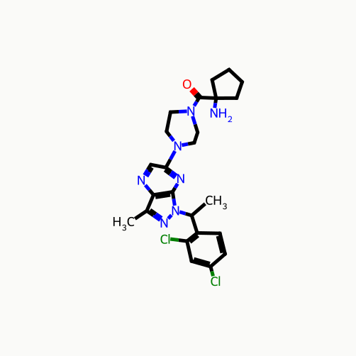 Cc1nn(C(C)c2ccc(Cl)cc2Cl)c2nc(N3CCN(C(=O)C4(N)CCCC4)CC3)cnc12